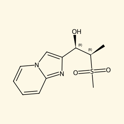 C[C@H]([C@H](O)c1cn2ccccc2n1)S(C)(=O)=O